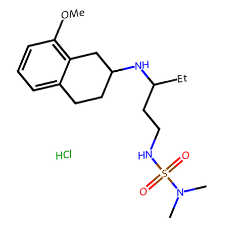 CCC(CCNS(=O)(=O)N(C)C)NC1CCc2cccc(OC)c2C1.Cl